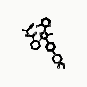 CN=S1(=O)CCN(c2ccc(-c3c([C@@H]4CCCC[C@H]4C(=O)N[C@@H](C)C#N)nn(-c4ncccc4F)c3C)cc2)CC1